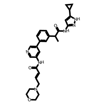 CC(C(=O)Nc1cc(C2CC2)[nH]n1)c1cccc(-c2cncc(NC(=O)/C=C/CN3CCOCC3)c2)c1